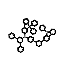 c1ccc(-c2cc(-c3ccccc3)cc(N(c3ccc(-c4cccc(-c5ccc6c7ccccc7n(-c7ccccc7)c6c5)c4)cc3)c3ccc4c(c3)C(c3ccccc3)(c3ccccc3)c3ccccc3-4)c2)cc1